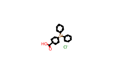 O=C(O)c1ccc([S+](c2ccccc2)c2ccccc2)cc1.[Cl-]